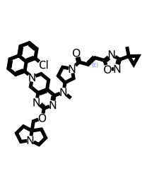 CN(c1nc(OCC23CCCN2CCC3)nc2c1CCN(c1cccc3cccc(Cl)c13)C2)C1CCN(C(=O)/C=C/c2nc(C3(C)CC3)no2)C1